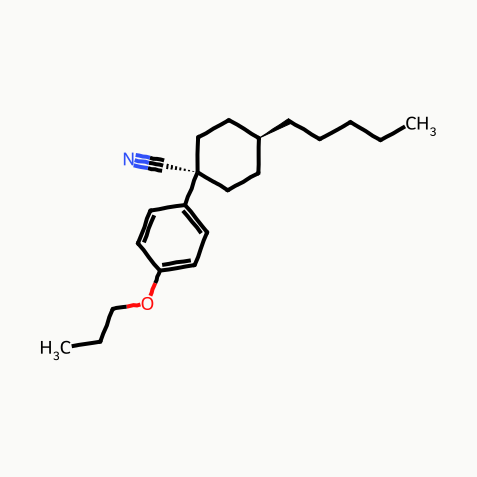 CCCCC[C@H]1CC[C@@](C#N)(c2ccc(OCCC)cc2)CC1